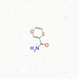 NC(=O)C1=COC=CS1